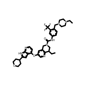 CCC1CN(C(=O)Nc2ccc(CN3CCN(CC)CC3)c(C(F)(F)F)c2)Cc2cc(Oc3ccnc4[nH]c(C5CCOCC5)cc34)cnc21